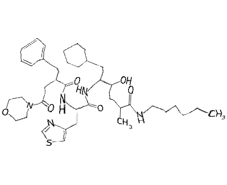 CCCCCCNC(=O)C(C)CC(O)C(CC1CCCCC1)NC(=O)[C@H](Cc1cscn1)NC(=O)C(CC(=O)N1CCOCC1)Cc1ccccc1